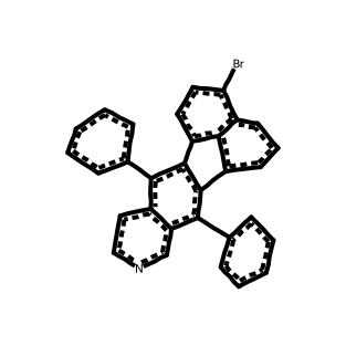 Brc1ccc2c3c(cccc13)-c1c-2c(-c2ccccc2)c2ccncc2c1-c1ccccc1